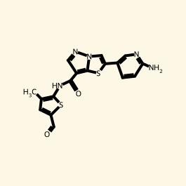 Cc1cc(C=O)sc1NC(=O)c1cnn2cc(-c3ccc(N)nc3)sc12